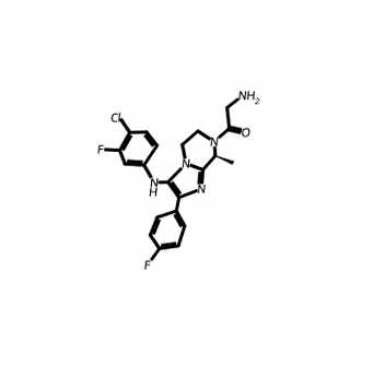 C[C@H]1c2nc(-c3ccc(F)cc3)c(Nc3ccc(Cl)c(F)c3)n2CCN1C(=O)CN